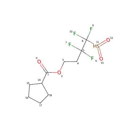 O=C(OCCC(F)(F)C(F)(F)[SH](=O)=O)C1CCCC1